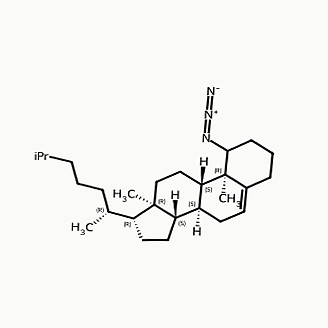 CC(C)CCC[C@@H](C)[C@H]1CC[C@H]2[C@@H]3CC=C4CCCC(N=[N+]=[N-])[C@]4(C)[C@H]3CC[C@]12C